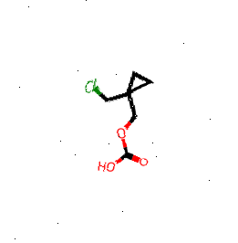 O=C(O)OCC1(CCl)CC1